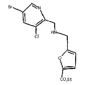 CCOC(=O)c1ccc(CNCc2ncc(Br)cc2Cl)o1